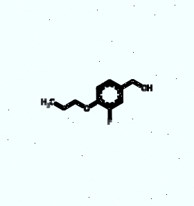 CCCOc1ccc(CO)cc1F